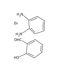 Nc1ccccc1N.O=Cc1ccccc1O.[Zn]